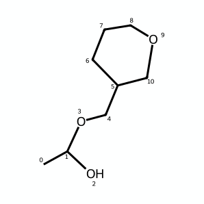 CC(O)OCC1CCCOC1